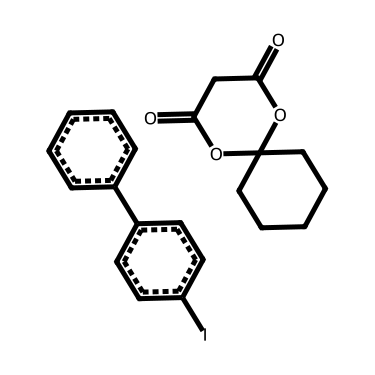 Ic1ccc(-c2ccccc2)cc1.O=C1CC(=O)OC2(CCCCC2)O1